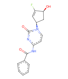 O=C(Nc1ccn([C@H]2C=C(F)[C@@H](O)C2)c(=O)n1)c1ccccc1